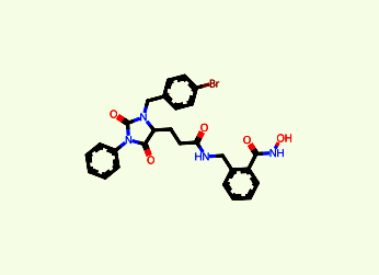 O=C(CCC1C(=O)N(c2ccccc2)C(=O)N1Cc1ccc(Br)cc1)NCc1ccccc1C(=O)NO